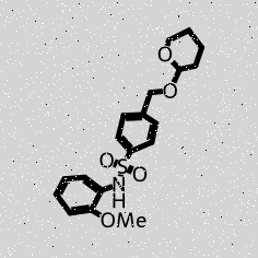 COc1ccccc1NS(=O)(=O)c1ccc(COC2CCCCO2)cc1